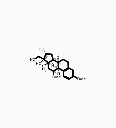 COc1ccc2c(c1)CC[C@@H]1[C@@H]2[C@@H](OC)C[C@@]2(C)[C@H]1C[C@@H](O)[C@@]2(O)CC#N